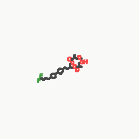 C=C(CO)C(=O)OCC(CCC1CCC(C2CCC(CCC=C(F)F)CC2)CC1)COC(=O)C(=C)COC